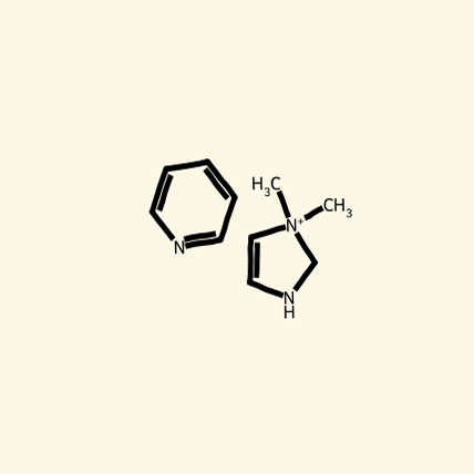 C[N+]1(C)C=CNC1.c1ccncc1